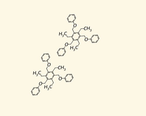 CCc1c(COc2ccccc2)c(CC)c(COc2ccccc2)c(CC)c1COc1ccccc1.CCc1c(COc2ccccc2)c(CC)c(COc2ccccc2)c(CC)c1COc1ccccc1